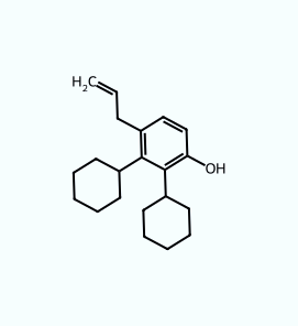 C=CCc1ccc(O)c(C2CCCCC2)c1C1CCCCC1